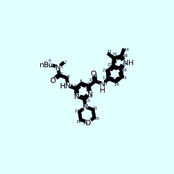 CCCCN(C)C(=O)CNc1cc(C(=O)Nc2ccc3[nH]c(C)c(C)c3c2)nc(N2CCOCC2)n1